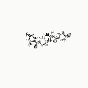 O=C(NC1N=CC2=CN(C(=O)c3ccc(F)cc3F)CCC2=N1)c1ccc(Cl)cc1